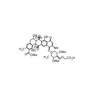 COC(=O)c1c(C)cc2c(c1O)C1(O)C(=O)c3cc4c(c(O)c3C(=O)[C@]1(OC)C(O)C2)C(=O)C=C(N[C@H]1O[C@@H](C)[C@H](OC)/C(=N/OCC(=O)O)[C@H]1OC)C4=O